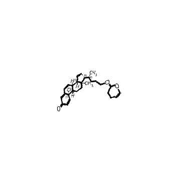 C[C@H](CCCOC1CCCCO1)[C@H]1CC[C@H]2[C@@H]3C=CC4=CC(=O)C=C[C@]4(C)[C@H]3CC[C@]12C